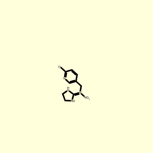 O=[N+]([O-])[N+](Cc1ccc(Cl)nc1)=C1NCCN1